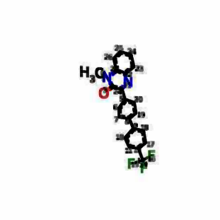 Cn1c(=O)c(-c2ccc(-c3ccc(C(F)(F)F)cc3)cc2)nc2ccccc21